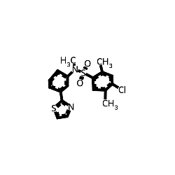 Cc1cc(S(=O)(=O)N(C)c2cccc(-c3nccs3)c2)c(C)cc1Cl